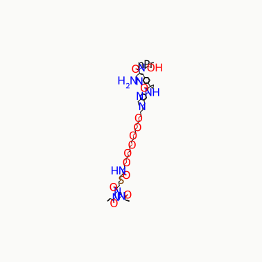 C=CC(=O)N1CN(C(=O)C=C)CN(C(=O)CCSCC(=O)NCCOCCOCCOCCOCCOCCOCCCN2CCc3ncc(NC(=O)C4(c5ccc6c(c5)N=C(N)CC(C(=O)N(CCC)CCO)=C6)CC4)cc3C2)C1